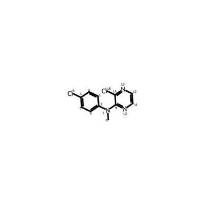 CN(c1ccc(Cl)cc1)c1nccnc1Cl